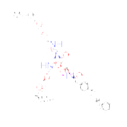 COCCOCCOCCNC(=O)CN(CC(=O)NCCOCCOCCOC)C(=O)CCC(=O)ONC(=O)Cc1ccc(CCCCc2ccccc2)cc1